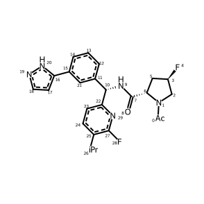 CC(=O)N1C[C@H](F)C[C@H]1C(=O)N[C@@H](c1cccc(-c2ccn[nH]2)c1)c1ccc(C(C)C)c(F)n1